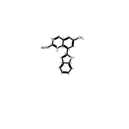 CNc1ncc2cc(C)cc(-c3cc4ccccc4s3)c2n1